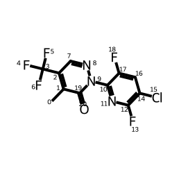 Cc1c(C(F)(F)F)cnn(-c2nc(F)c(Cl)cc2F)c1=O